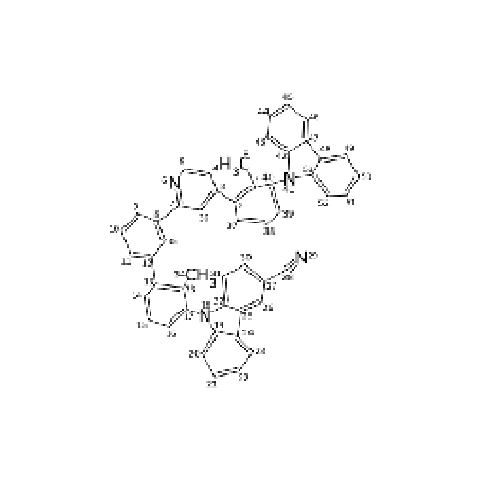 Cc1c(-c2ccnc(-c3cccc(-c4cccc(-n5c6ccccc6c6cc(C#N)ccc65)c4C)c3)c2)cccc1-n1c2ccccc2c2ccccc21